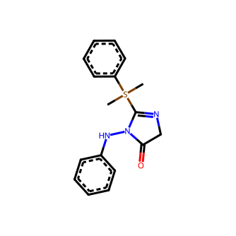 CS(C)(C1=NCC(=O)N1Nc1ccccc1)c1ccccc1